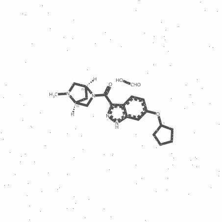 CN1C[C@@H]2C[C@H]1CN2C(=O)c1n[nH]c2cc(OC3CCCC3)ccc12.O=CO